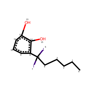 CCCCCC(I)(I)c1cccc(O)c1O